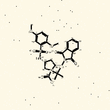 COc1ccc(OC)c(S(=O)(=O)N[C@@H]2C[C@H](CN3C(=O)c4ccccc4C3=O)[N+](C(=O)[O-])(C(C)(C)C)C2)c1